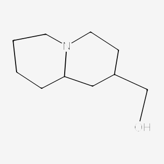 OCC1CCN2CCCCC2C1